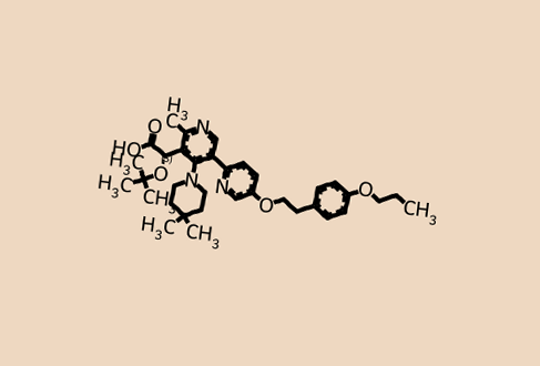 CCCOc1ccc(CCOc2ccc(-c3cnc(C)c([C@H](OC(C)(C)C)C(=O)O)c3N3CCC(C)(C)CC3)nc2)cc1